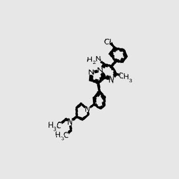 CCN(CC)C1CCN(c2cccc(-c3cnn4c(N)c(-c5cccc(Cl)c5)c(C)nc34)c2)CC1